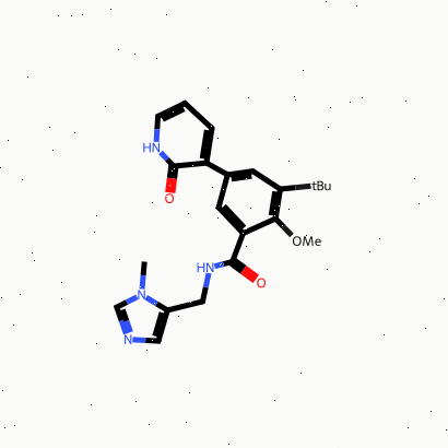 COc1c(C(=O)NCc2cncn2C)cc(-c2ccc[nH]c2=O)cc1C(C)(C)C